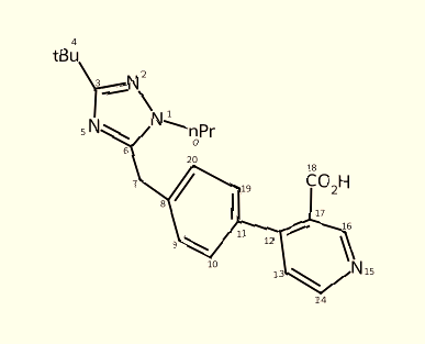 CCCn1nc(C(C)(C)C)nc1Cc1ccc(-c2ccncc2C(=O)O)cc1